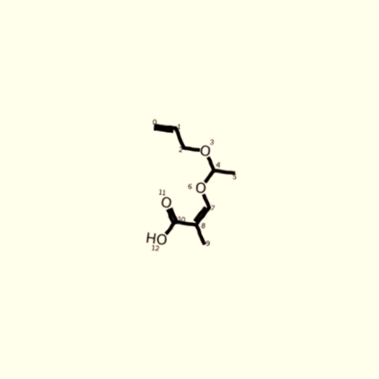 C=CCOC(C)OC=C(C)C(=O)O